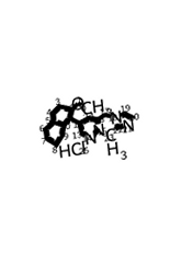 COc1ccc2ccccc2c1-c1cnnc(Cn2ccnc2C)c1.Cl